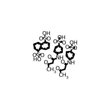 CC(=O)CC(=O)Nc1ccc(S(=O)(=O)O)cc1.CC(=O)CC(=O)Nc1ccc(S(=O)(=O)O)cc1.O=S(=O)(O)c1cccc2c(S(=O)(=O)O)cccc12